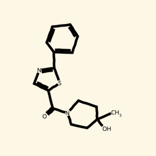 CC1(O)CCN(C(=O)c2cnc(-c3ccccc3)s2)CC1